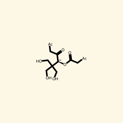 CC(=O)CC(=O)O[C@H](C(=O)CC(C)=O)C(CO)(CO)CO